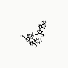 Nc1nc2c(nnn2[C@@H]2O[C@H](CO)[C@H](F)[C@H]2OP(O)(=S)OCC[C@H]2O[C@@H](n3nnc4c(N)ncnc43)[C@@H](F)[C@@H]2O)c(=O)[nH]1